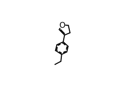 CCc1ccc(C2=COCC2)cc1